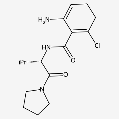 CC(C)[C@H](NC(=O)C1=C(Cl)CCC=C1N)C(=O)N1CCCC1